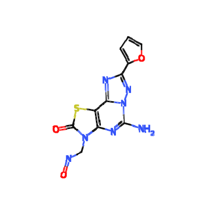 Nc1nc2c(sc(=O)n2CN=O)c2nc(-c3ccco3)nn12